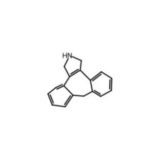 c1ccc2c(c1)Cc1ccccc1C1=C2CNC1